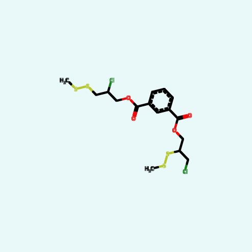 CSSCC(Cl)COC(=O)c1cccc(C(=O)OCC(CCl)SSC)c1